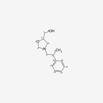 CC(CN1COC(CO)C1)c1ccccc1